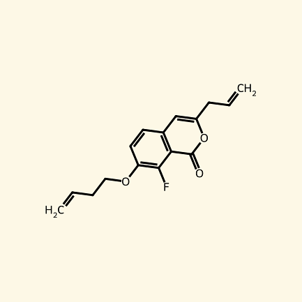 C=CCCOc1ccc2cc(CC=C)oc(=O)c2c1F